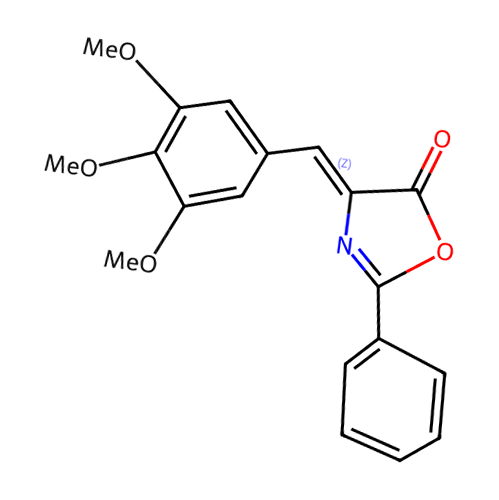 COc1cc(/C=C2\N=C(c3ccccc3)OC2=O)cc(OC)c1OC